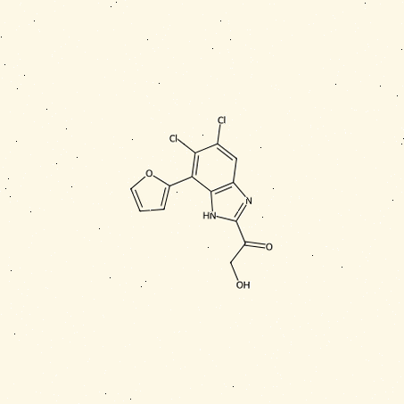 O=C(CO)c1nc2cc(Cl)c(Cl)c(-c3ccco3)c2[nH]1